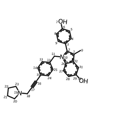 Cc1c(-c2ccc(O)cc2)n(Cc2ccc(C#CCN3CCCC3)cc2)c2ccc(O)cc12